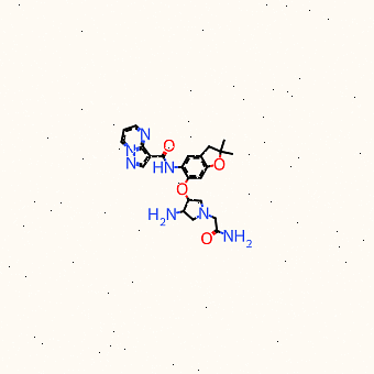 CC1(C)Cc2cc(NC(=O)c3cnn4cccnc34)c(OC3CN(CC(N)=O)CC3N)cc2O1